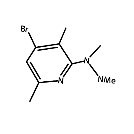 CNN(C)c1nc(C)cc(Br)c1C